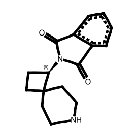 O=C1c2ccccc2C(=O)N1[C@@H]1CCC12CCNCC2